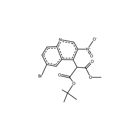 COC(=O)C(C(=O)OC(C)(C)C)c1c([N+](=O)[O-])cnc2ccc(Br)cc12